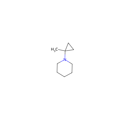 CC1(N2CCCCC2)CC1